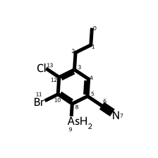 CCCc1cc(C#N)c([AsH2])c(Br)c1Cl